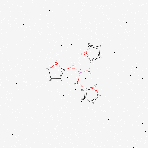 C1=C(OP(Oc2ccco2)Oc2ccco2)OCC1